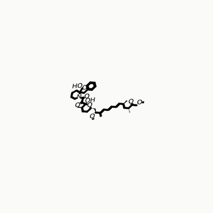 COCC(=O)[C@H](C)C[C@H](C)C=CC=CC=C(C)[C@H](C[C@@H]1CC[C@@H](C)[C@](O)(C(=O)C(=O)N2CCCCC2(Cc2ccccc2)C(=O)O)O1)OC